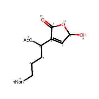 CCCCCCCCCCCCC(OC(C)=O)C1=CC(O)OC1=O